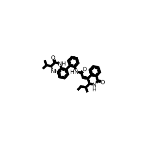 CCC(C)C1NC(=O)c2ccccc2/C1=C\C(=O)Nc1ccccc1-c1ccccc1NC(=O)[C@@H](N)C(C)C